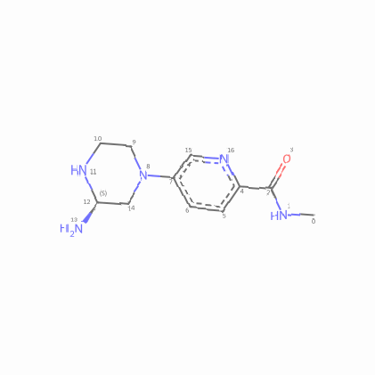 CNC(=O)c1ccc(N2CCN[C@H](N)C2)cn1